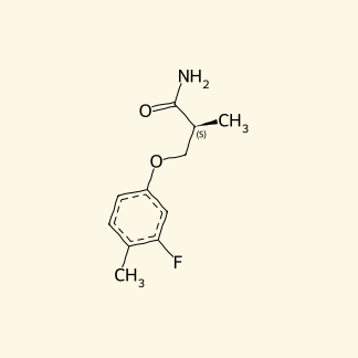 Cc1ccc(OC[C@H](C)C(N)=O)cc1F